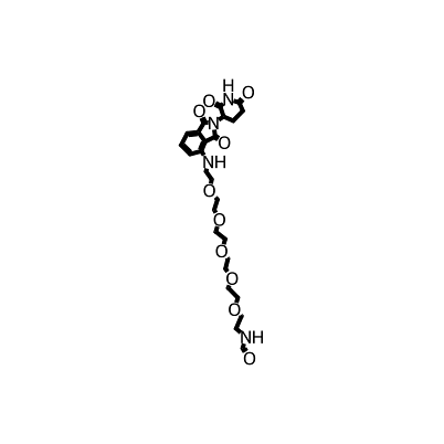 O=CNCCOCCOCCOCCOCCOCCNc1cccc2c1C(=O)N(C1CCC(=O)NC1=O)C2=O